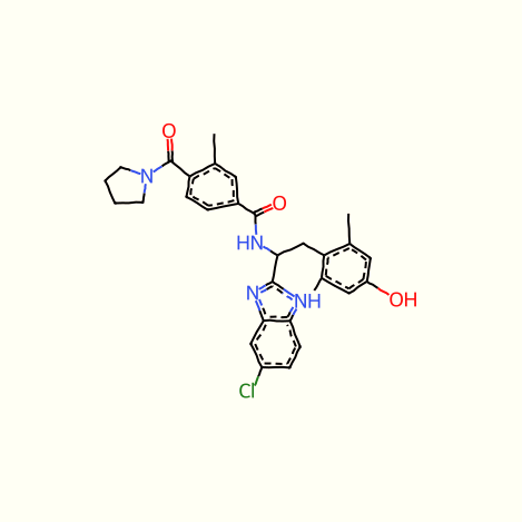 Cc1cc(C(=O)NC(Cc2c(C)cc(O)cc2C)c2nc3cc(Cl)ccc3[nH]2)ccc1C(=O)N1CCCC1